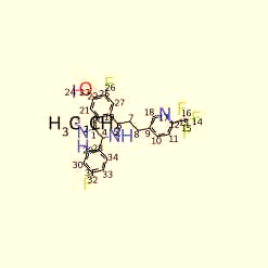 C=C(NC)C(NC(CCc1ccc(C(F)(F)F)nc1)c1ccc(OI)c(F)c1)c1ccc(F)cc1